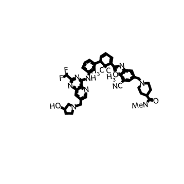 CNC(=O)C1CCN(Cc2cc(C#N)c3oc(C4=CC=CC(c5cccc(Nc6nc(C(F)F)nc7cc(CN8CCC(O)C8)cnc67)c5)C4(C)C)nc3c2)CC1